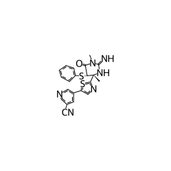 CN1C(=N)N[C@](C)(c2ncc(-c3cncc(C#N)c3)s2)[C@H](Sc2ccccc2)C1=O